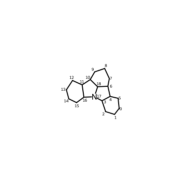 C1CCC2C(C1)C1CCCC3C4CCCCC4N2C13